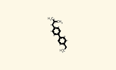 CCc1ccc(-c2ccc(CC(C)C)cc2)cc1